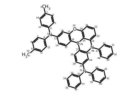 Cc1ccc(N(c2ccc(C)cc2)c2ccc3c(c2)Oc2cccc4c2B3c2ccc(N(c3ccccc3)c3ccccc3)cc2N4c2ccccc2)cc1